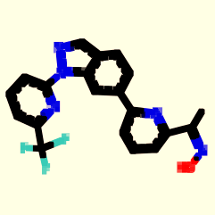 C/C(=N/O)c1cccc(-c2ccc3cnn(-c4cccc(C(F)(F)F)n4)c3c2)n1